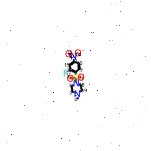 CN1CCN(S(=O)(=O)c2ccc([N+](=O)[O-])cc2F)CC1